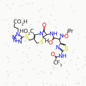 CC(C)ON=C(C(=O)NC1C(=O)N2C(C(=O)O)=C(CSc3nnnn3CCC(=O)O)CS[C@@H]12)c1csc(NC(=O)C(F)(F)F)n1